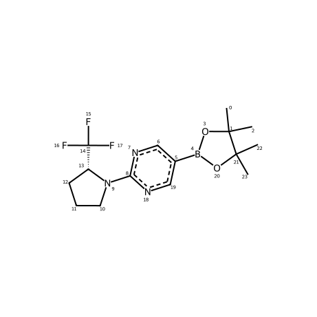 CC1(C)OB(c2cnc(N3CCC[C@@H]3C(F)(F)F)nc2)OC1(C)C